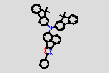 CC1(C)c2ccccc2-c2ccc(N(c3ccc4c(c3)C(C)(C)c3ccccc3-4)c3ccc4c5c(cccc35)-c3nc(-c5ccccc5)oc3-4)cc21